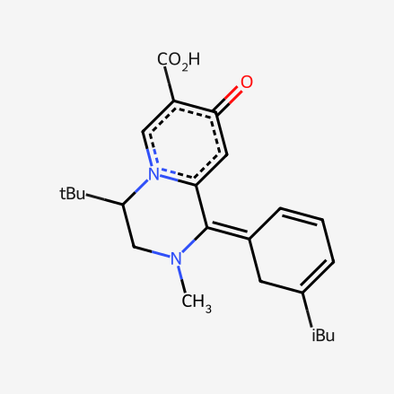 CCC(C)C1=CC=C/C(=C2\c3cc(=O)c(C(=O)O)cn3C(C(C)(C)C)CN2C)C1